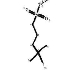 CNS(=O)(=O)CCCC(C)(C)I